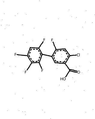 O=C(O)c1cc(-c2c(F)cc(F)c(F)c2F)c(F)cc1Cl